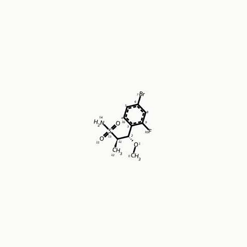 CO[C@@H](c1ccc(Br)cc1F)[C@@H](C)S(N)(=O)=O